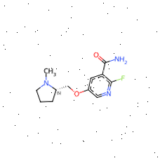 CN1CCC[C@H]1COc1cnc(F)c(C(N)=O)c1